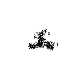 CCc1c(N2CCN(C(=O)c3ncnc(C)c3O)CC2)c(=O)n2nc(-c3ccn4ccnc4c3)nc2n1CC(=O)Nc1ccc(C(F)(F)F)cc1Cl